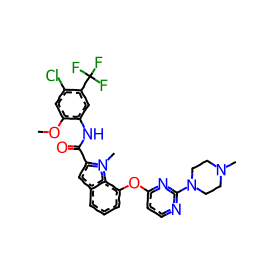 COc1cc(Cl)c(C(F)(F)F)cc1NC(=O)c1cc2cccc(Oc3ccnc(N4CCN(C)CC4)n3)c2n1C